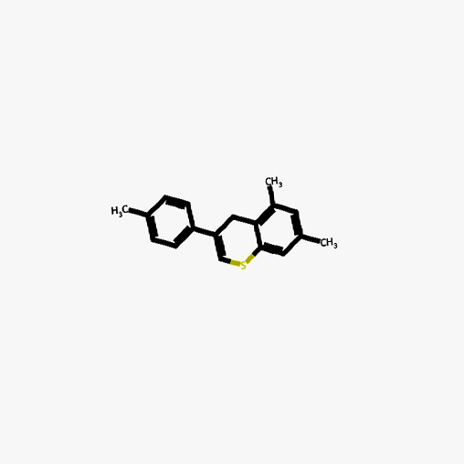 Cc1ccc(C2=CSc3cc(C)cc(C)c3C2)cc1